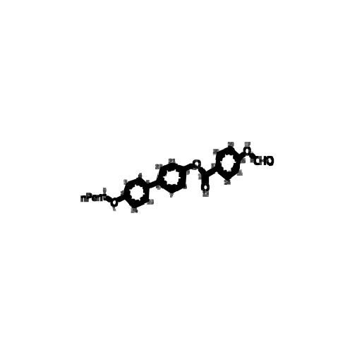 CCCCCOc1ccc(-c2ccc(OC(=O)c3ccc(OC=O)cc3)cc2)cc1